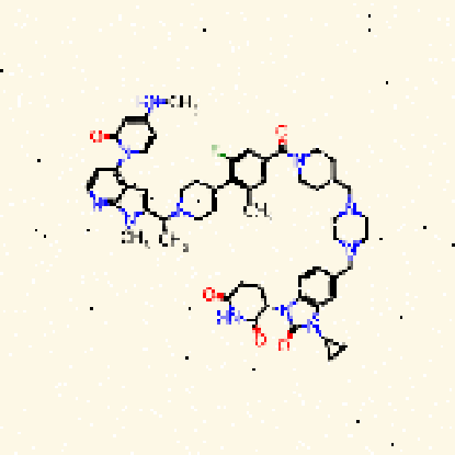 CNc1ccn(-c2ccnc3c2cc([C@H](C)N2CC=C(c4c(C)cc(C(=O)N5CCC(CN6CCN(Cc7ccc8c(c7)n(C7CC7)c(=O)n8[C@H]7CCC(=O)NC7=O)CC6)CC5)cc4F)CC2)n3C)c(=O)c1